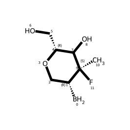 B[C@@H]1CO[C@H](CO)C(O)[C@@]1(C)F